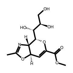 COC(=O)C1=C[C@H]2OC(C)=N[C@@H]2[C@H]([C@H](O)[C@H](O)CO)O1